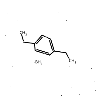 B.CCc1ccc(CC)cc1